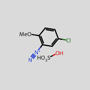 COc1ccc(Cl)cc1[N+]#N.O=S(=O)(O)O